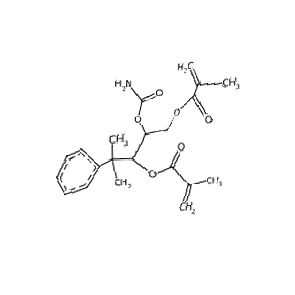 C=C(C)C(=O)OCC(OC(N)=O)C(OC(=O)C(=C)C)C(C)(C)c1ccccc1